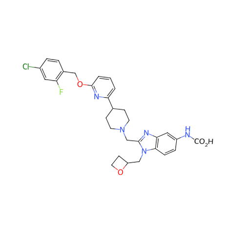 O=C(O)Nc1ccc2c(c1)nc(CN1CCC(c3cccc(OCc4ccc(Cl)cc4F)n3)CC1)n2CC1CCO1